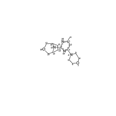 Cc1cc(N2CCOCC2)nc(N2C3CCC2COC3)n1